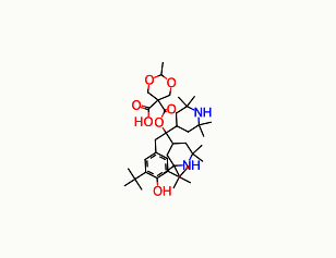 CC1OCC(C(=O)O)(C(=O)OC(Cc2cc(C(C)(C)C)c(O)c(C(C)(C)C)c2)(C2CC(C)(C)NC(C)(C)C2)C2CC(C)(C)NC(C)(C)C2)CO1